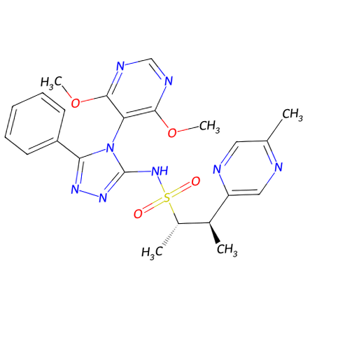 COc1ncnc(OC)c1-n1c(NS(=O)(=O)[C@@H](C)[C@H](C)c2cnc(C)cn2)nnc1-c1ccccc1